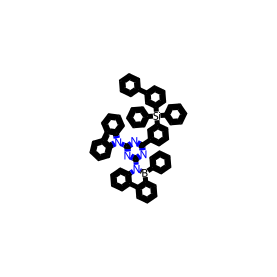 c1ccc(B2c3ccccc3-c3ccccc3N2c2nc(-c3cccc([Si](c4ccccc4)(c4ccccc4)c4cccc(-c5ccccc5)c4)c3)nc(-n3c4ccccc4c4ccccc43)n2)cc1